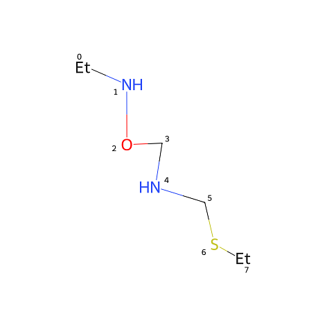 CCNOCNCSCC